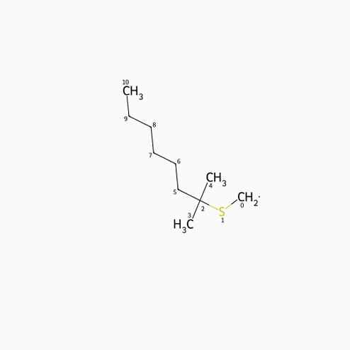 [CH2]SC(C)(C)CCCCCC